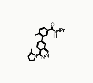 Cc1ccc(C(=O)NC(C)C)cc1-c1ccc2c(N3CCC[C@H]3C)nncc2c1